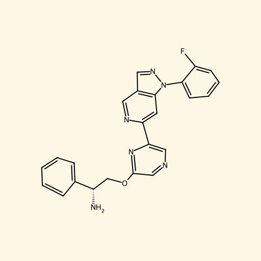 N[C@@H](COc1cncc(-c2cc3c(cn2)cnn3-c2ccccc2F)n1)c1ccccc1